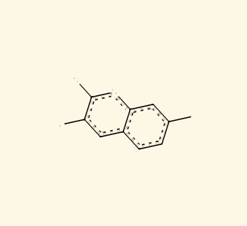 Cc1ccc2cc(Br)c(N)nc2c1